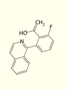 C=C(O)c1c(F)cccc1-c1nccc2ccccc12